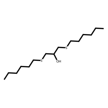 CCCCCCSCC(O)CSCCCCCC